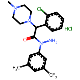 CN1CCN(C(C(=O)N(N)c2cc(C(F)(F)F)cc(C(F)(F)F)c2)c2ccccc2Cl)CC1.Cl